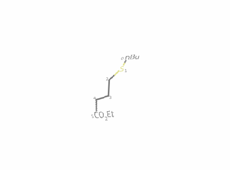 CCCCSCCCC(=O)OCC